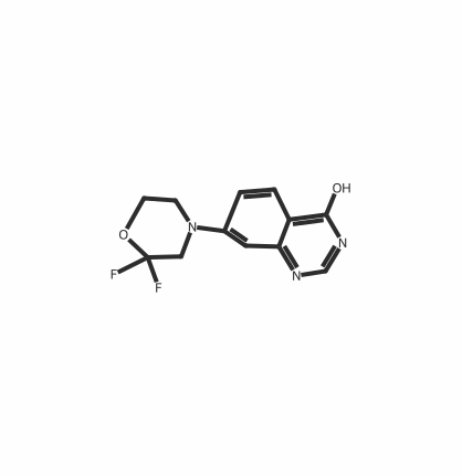 Oc1ncnc2cc(N3CCOC(F)(F)C3)ccc12